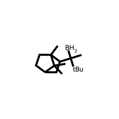 BC(C)(C1CC2CCC1(C)C2(C)C)C(C)(C)C